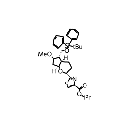 CO[C@@H]1C[C@@H]2O[C@@H](c3nc(C(=O)OC(C)C)cs3)CC[C@@H]2[C@H]1CO[Si](c1ccccc1)(c1ccccc1)C(C)(C)C